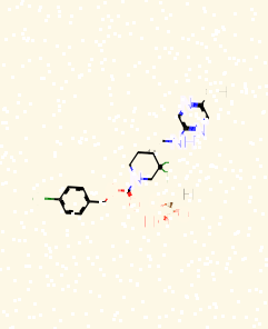 CS(=O)(=O)O.Cc1cnc(NC[C@H]2CCN(C(=O)OCc3ccc(Cl)cc3)CC2(F)F)cn1